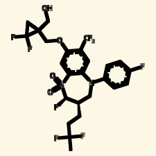 CC(F)(F)CC[C@@H]1CN(c2ccc(F)cc2)c2cc(C(F)(F)F)c(OCC3(CO)CC3(F)F)cc2S(=O)(=O)[C@@H]1F